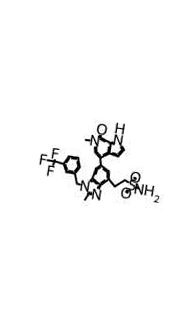 Cc1nc2c(CCS(N)(=O)=O)cc(-c3cn(C)c(=O)c4[nH]ccc34)cc2n1Cc1cccc(C(F)(F)F)c1